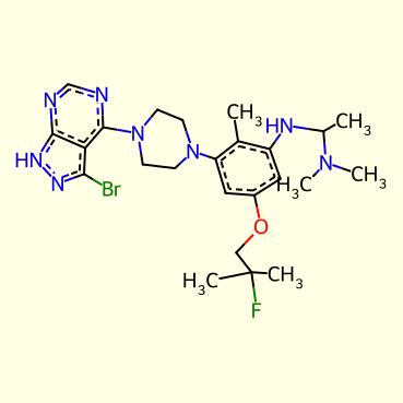 Cc1c(NC(C)N(C)C)cc(OCC(C)(C)F)cc1N1CCN(c2ncnc3[nH]nc(Br)c23)CC1